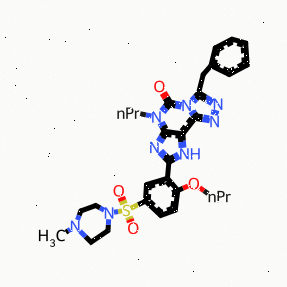 CCCOc1ccc(S(=O)(=O)N2CCN(C)CC2)cc1-c1nc2c([nH]1)c1nnc(Cc3ccccc3)n1c(=O)n2CCC